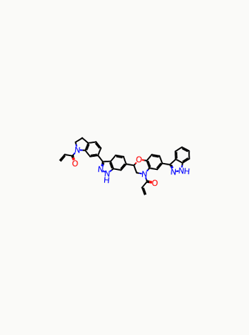 C=CC(=O)N1CCc2ccc(-c3n[nH]c4cc(C5CN(C(=O)C=C)c6cc(-c7n[nH]c8ccccc78)ccc6O5)ccc34)cc21